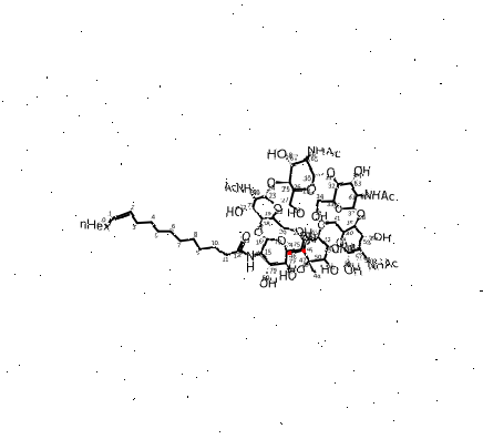 CCCCCC/C=C\CCCCCCCCCC(=O)NC1[C@H](O[C@@H]2C(CO)O[C@@H](O[C@@H]3C(CO)O[C@@H](O[C@@H]4C(CO)O[C@@H](O[C@@H]5C(CO[C@@H]6OC(C)[C@@](C)(O)C(O)[C@H]6OC)O[C@@H](O)C(NC(C)=O)[C@H]5O)C(NC(C)=O)[C@H]4O)C(NC(C)=O)[C@H]3O)C(NC(C)=O)[C@H]2O)OC(CO)[C@@H](O)[C@@H]1O